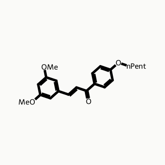 CCCCCOc1ccc(C(=O)/C=C/c2cc(OC)cc(OC)c2)cc1